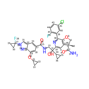 C[C@]1(C(N)=O)COc2c1cc(C(O)(CNC(=O)c1cc(OC3CC3)c3nn(C4(F)CC4)cc3c1)C1CC1)nc2-c1cc(Cl)ccc1F